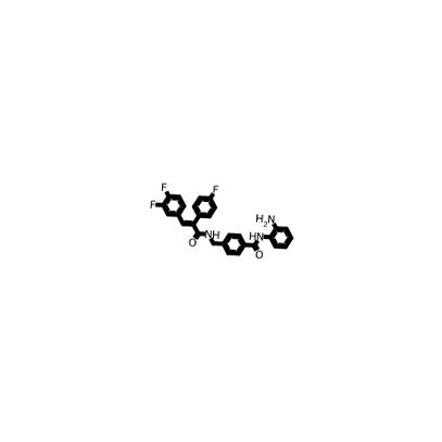 Nc1ccccc1NC(=O)c1ccc(CNC(=O)C(=Cc2ccc(F)c(F)c2)c2ccc(F)cc2)cc1